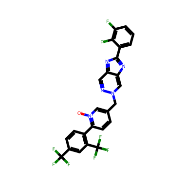 [O-][n+]1cc(Cn2cc3nc(-c4cccc(F)c4F)nc-3cn2)ccc1-c1ccc(C(F)(F)F)cc1C(F)(F)F